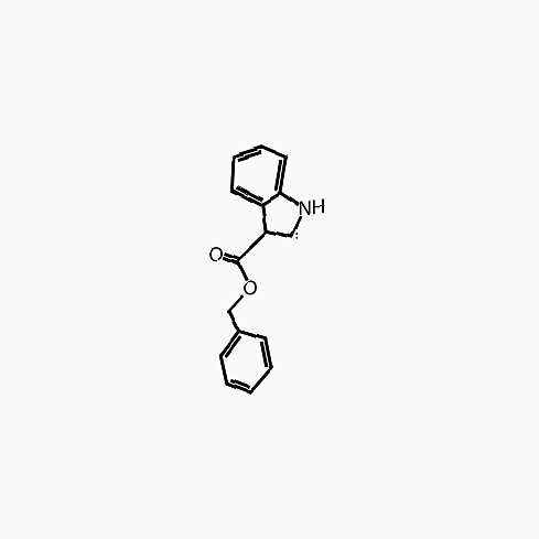 O=C(OCc1ccccc1)C1[C]Nc2ccccc21